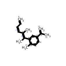 C=C/C=C\C(C)=C(/C)c1cc(C(=C)C)ccc1C